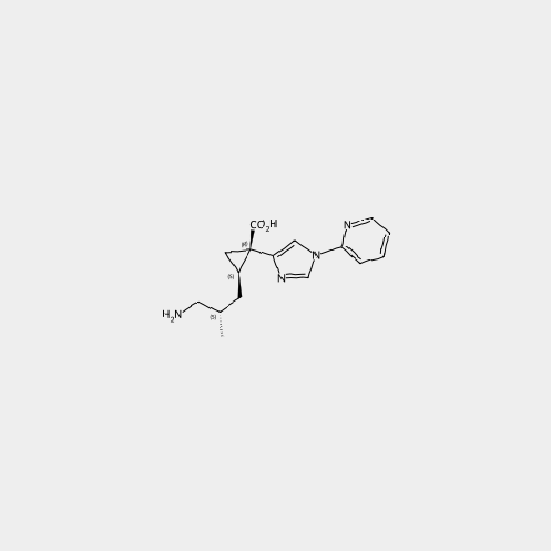 C[C@H](CN)C[C@H]1C[C@]1(C(=O)O)c1cn(-c2ccccn2)cn1